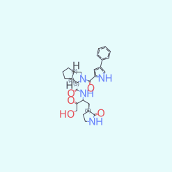 O=C(CO)C(C[C@@H]1CCNC1=O)NC(=O)[C@@H]1[C@H]2CCC[C@H]2CN1C(=O)c1cc(-c2ccccc2)c[nH]1